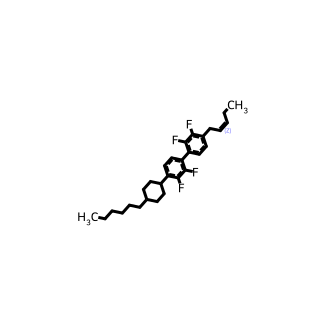 CC/C=C\Cc1ccc(-c2ccc(C3CCC(CCCCCC)CC3)c(F)c2F)c(F)c1F